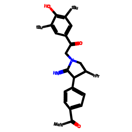 CCCC1CN(CC(=O)c2cc(C(C)(C)C)c(O)c(C(C)(C)C)c2)C(=N)C1c1ccc(C(=O)NC)cc1